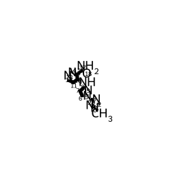 Cn1cnc(-n2ccc(Nc3ccnnc3C(N)=O)n2)n1